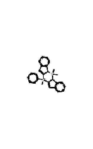 C[Si]1(c2ccccc2)C2=Cc3ccccc3[CH]2[Ti]([CH3])([CH3])[CH]2C1=Cc1ccccc12